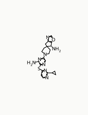 Nc1nc(N2CCC3(CC2)Cc2ncoc2[C@H]3N)cnc1Sc1ccnc(C2CC2)n1